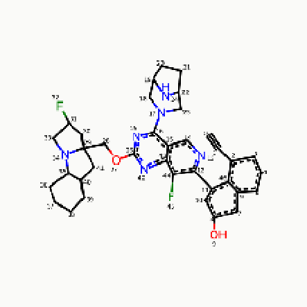 C#Cc1cccc2cc(O)cc(-c3ncc4c(N5CC6CCC(C5)N6)nc(OCC56CC(F)CN5C5CCCCC5C6)nc4c3F)c12